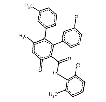 CCc1cccc(C)c1NC(=O)c1c(-c2cccc(Cl)c2)n(-c2cccc(C)c2)c(C)cc1=O